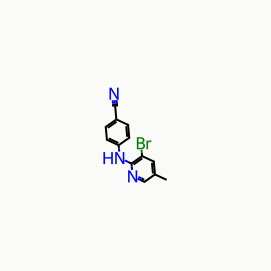 Cc1cnc(Nc2ccc(C#N)cc2)c(Br)c1